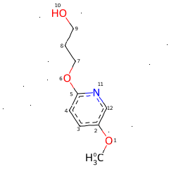 COc1ccc(OCCCO)nc1